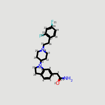 NC(=O)Cc1ccc2c(c1)N(C1CCN(CCc3ccc(F)cc3F)CC1)CC2